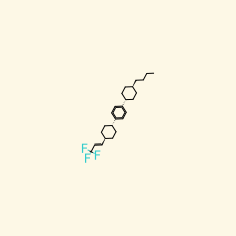 CCCC[C@H]1CC[C@H](c2ccc([C@H]3CC[C@H](/C=C/C(F)(F)F)CC3)cc2)CC1